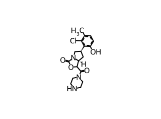 Cc1ccc(O)c([C@H]2C[C@H]3C(C(=O)N4CCNCC4)OC(=O)N3C2)c1Cl